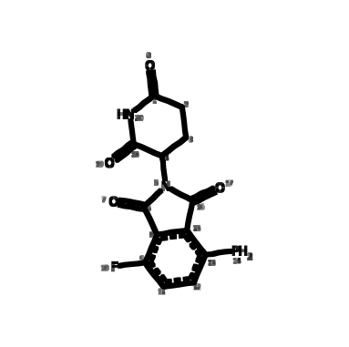 O=C1CCC(N2C(=O)c3c(F)ccc(P)c3C2=O)C(=O)N1